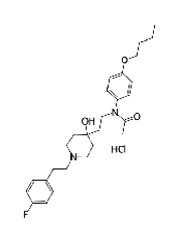 CCCCOc1ccc(N(CCC2(O)CCN(CCc3ccc(F)cc3)CC2)C(C)=O)cc1.Cl